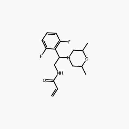 C=CC(=O)NCC(c1c(F)cccc1F)N1CC(C)OC(C)C1